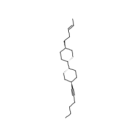 C/C=C/CC[C@H]1CC[C@H]([C@H]2CC[C@H](C#CCCCC)CC2)CC1